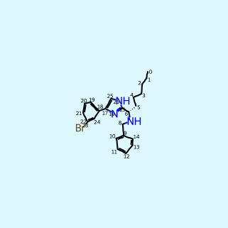 CCCCCC[C@H](NCc1ccccc1)c1nc(-c2cccc(Br)c2)c[nH]1